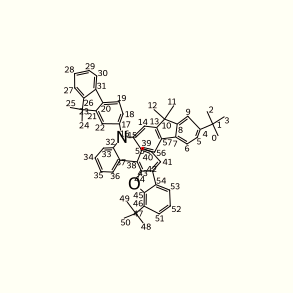 CC(C)(C)c1ccc2c(c1)C(C)(C)c1cc(N(c3ccc4c(c3)C(C)(C)c3ccccc3-4)c3ccccc3-c3cccc4c3oc3c(C(C)(C)C)cccc34)ccc1-2